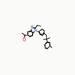 CCc1nc2cc(C(C)=O)ccc2n1-c1ccc(CC(C)(C)c2[c]ccc(C)c2)cc1